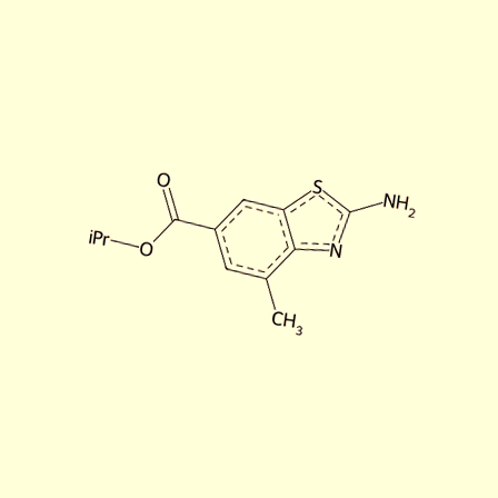 Cc1cc(C(=O)OC(C)C)cc2sc(N)nc12